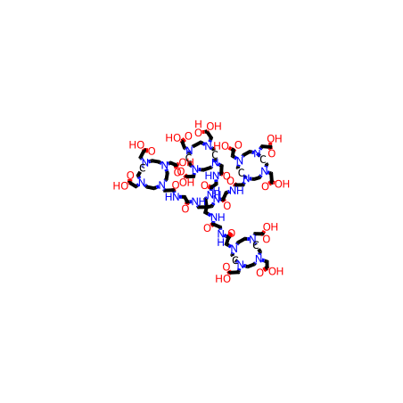 O=C(O)CN1CCN(CC(=O)O)CCN(CC(=O)NCC(=O)NCC(CNC(=O)CNC(=O)CN2CCN(CC(=O)O)CCN(CC(=O)O)CCN(CC(=O)O)CC2)(CNC(=O)CNC(=O)CN2CCN(CC(=O)O)CCN(CC(=O)O)CCN(CC(=O)O)CC2)CNC(=O)CNC(=O)CN2CCN(CC(=O)O)CCN(CC(=O)O)CCN(CC(O)O)CC2)CCN(CC(=O)O)CC1